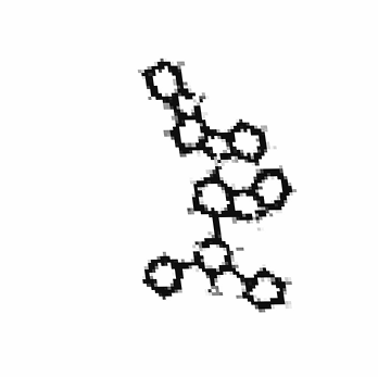 N#Cc1c(-c2ccccc2)nc(-c2ccc(-n3c4ccccc4c4c5oc6ccccc6c5ccc43)c3c2oc2ccccc23)nc1-c1ccccc1